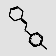 Cc1ccc(SC=C2CC=CCC2)cc1